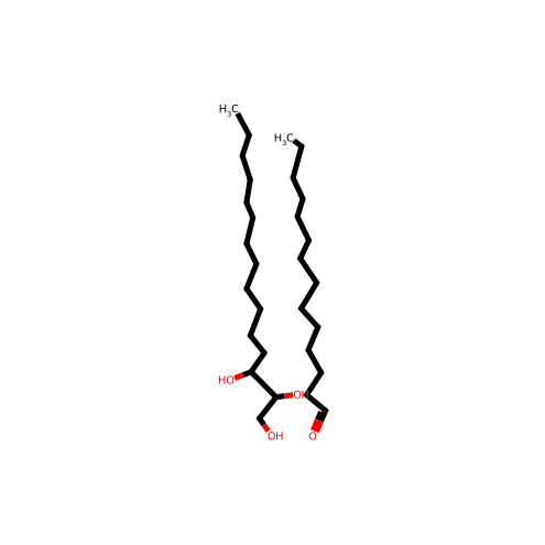 CCCCCCCCCCCCC(O)C(O)CO.CCCCCCCCCCCCCC=O